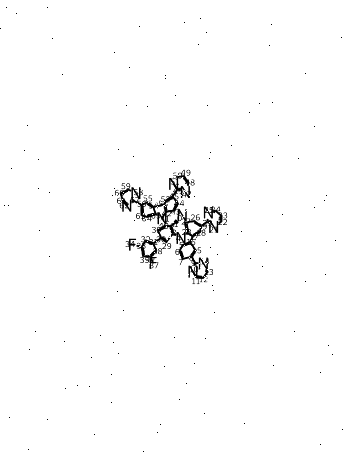 N#Cc1c(-n2c3ccc(-c4ncccn4)cc3c3cc(-c4ncccn4)ccc32)cc(-c2cc(F)cc(F)c2)cc1-n1c2ccc(-c3ncccn3)cc2c2cc(-c3ncccn3)ccc21